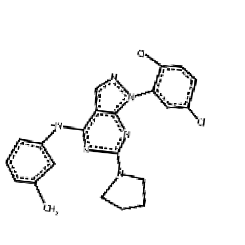 Cc1cccc(Nc2nc(N3CCCC3)nc3c2cnn3-c2cc(Cl)ccc2Cl)c1